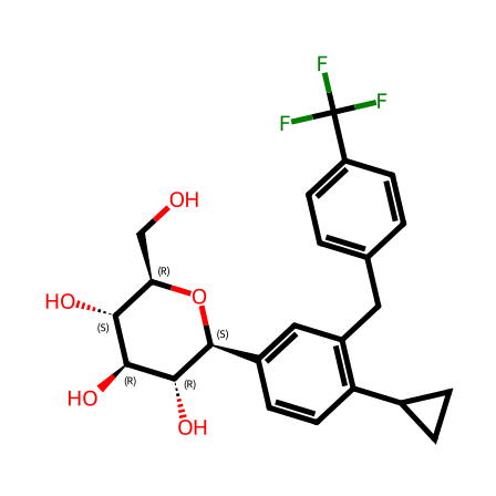 OC[C@H]1O[C@@H](c2ccc(C3CC3)c(Cc3ccc(C(F)(F)F)cc3)c2)[C@H](O)[C@@H](O)[C@@H]1O